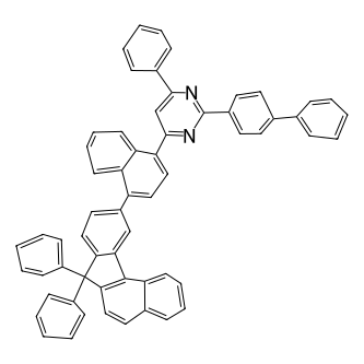 c1ccc(-c2ccc(-c3nc(-c4ccccc4)cc(-c4ccc(-c5ccc6c(c5)-c5c(ccc7ccccc57)C6(c5ccccc5)c5ccccc5)c5ccccc45)n3)cc2)cc1